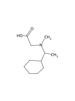 CC(C1CCCCC1)N(C)CC(=O)O